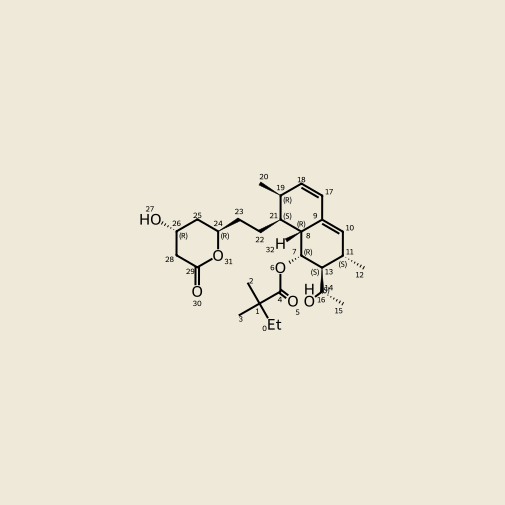 CCC(C)(C)C(=O)O[C@@H]1[C@H]2C(=C[C@H](C)[C@H]1[C@H](C)O)C=C[C@H](C)[C@@H]2CC[C@@H]1C[C@@H](O)CC(=O)O1